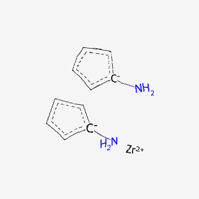 N[c-]1cccc1.N[c-]1cccc1.[Zr+2]